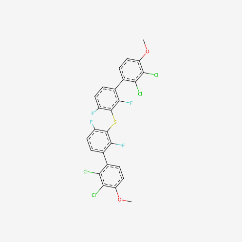 COc1ccc(-c2ccc(F)c(Sc3c(F)ccc(-c4ccc(OC)c(Cl)c4Cl)c3F)c2F)c(Cl)c1Cl